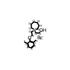 Cc1cccc(C)c1OCC[N+]1(CCO)CCCCCC1.[Br-]